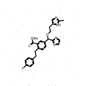 COC(=O)c1cc(C(OCCc2cnc(C)[nH]2)c2nccs2)ccc1CCc1ccc(F)cc1